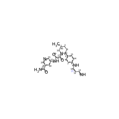 C[C@@H]1CC[C@@H](c2ccc(N/C=C\C=N)cc2)N(C(=O)C(=O)Nc2cncc(C(N)=O)c2)C1